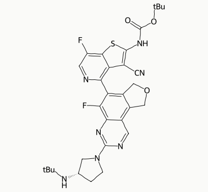 CC(C)(C)N[C@H]1CCN(c2ncc3c4c(c(-c5ncc(F)c6sc(NC(=O)OC(C)(C)C)c(C#N)c56)c(F)c3n2)COC4)C1